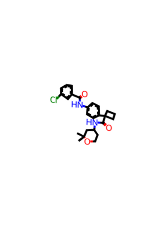 CC1(C)CC(NC(=O)C2(c3ccc(NC(=O)c4cccc(Cl)c4)cc3)CCC2)CCO1